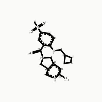 CS(=O)(=O)c1ccc(OCC2CCC2)c(C(=O)N2Cc3cnc(C(F)(F)F)cc3C2)c1